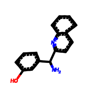 NC(c1cccc(O)c1)c1ccc2ccccc2n1